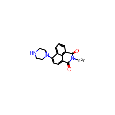 CCCN1C(=O)c2cccc3c(N4CCNCC4)ccc(c23)C1=O